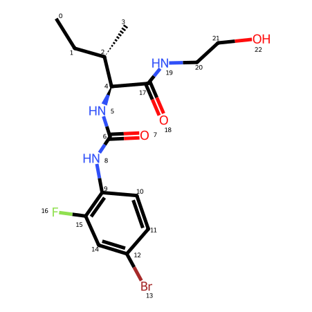 CC[C@H](C)[C@H](NC(=O)Nc1ccc(Br)cc1F)C(=O)NCCO